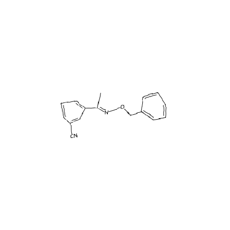 C/C(=N\OCc1ccccc1)c1cccc(C#N)c1